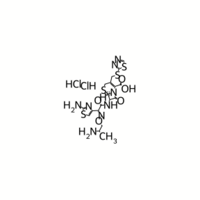 CC(N)CON=C(C(=O)NC1C(=O)N2C(C(=O)O)=C(CSc3nncs3)CS[C@@H]12)c1csc(N)n1.Cl.Cl